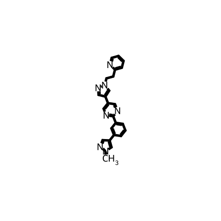 Cn1cc(-c2cccc(-c3ncc(-c4cnn(CCc5ccccn5)c4)cn3)c2)cn1